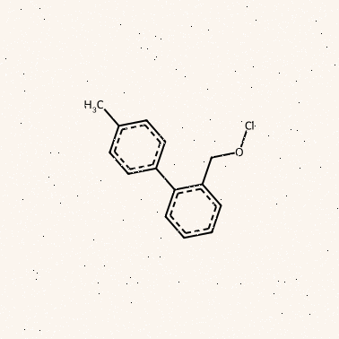 Cc1ccc(-c2ccccc2COCl)cc1